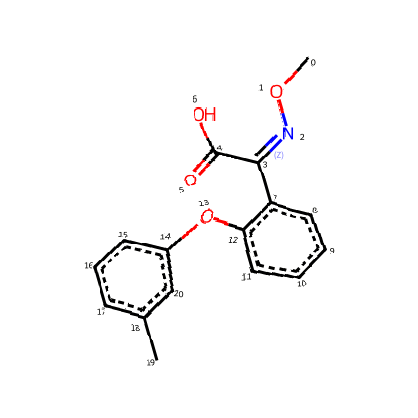 CO/N=C(\C(=O)O)c1ccccc1Oc1cccc(C)c1